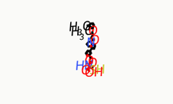 Cc1cccc(OCCCC(=O)N2CCCc3c(-c4cccc(COC(=O)NC(CS)C(=O)O)c4)cccc32)c1C